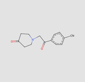 N#Cc1ccc(C(=O)CN2CCC(=O)CC2)cc1